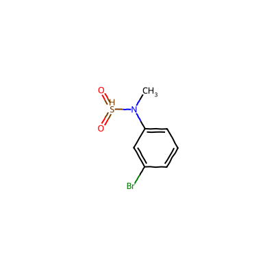 CN(c1cccc(Br)c1)[SH](=O)=O